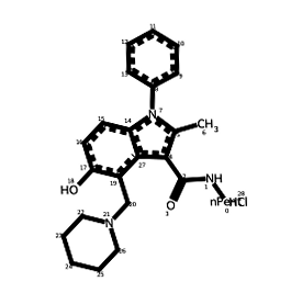 CCCCCNC(=O)c1c(C)n(-c2ccccc2)c2ccc(O)c(CN3CCCCC3)c12.Cl